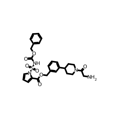 NCC(=O)N1CCC(c2cccc(COC(=O)c3cccn3S(=O)(=O)NC(=O)OCc3ccccc3)c2)CC1